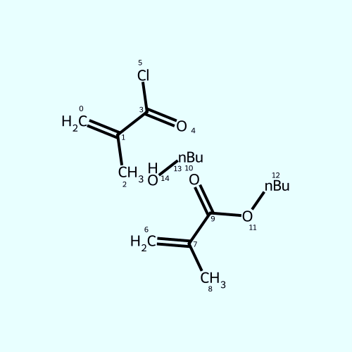 C=C(C)C(=O)Cl.C=C(C)C(=O)OCCCC.CCCCO